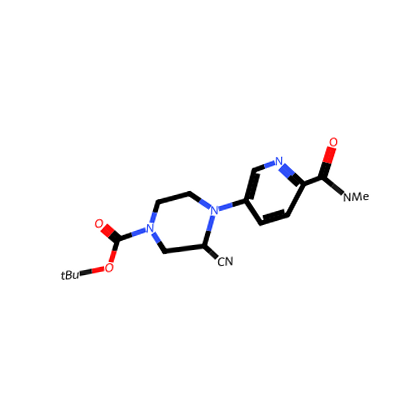 CNC(=O)c1ccc(N2CCN(C(=O)OC(C)(C)C)CC2C#N)cn1